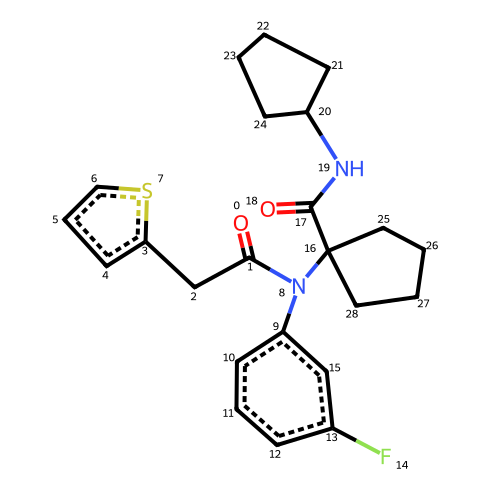 O=C(Cc1cccs1)N(c1cccc(F)c1)C1(C(=O)NC2CCCC2)CCCC1